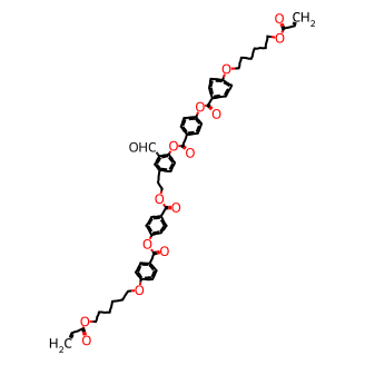 C=CC(=O)OCCCCCCOc1ccc(C(=O)Oc2ccc(C(=O)OCCc3ccc(OC(=O)c4ccc(OC(=O)c5ccc(OCCCCCCOC(=O)C=C)cc5)cc4)c(C=O)c3)cc2)cc1